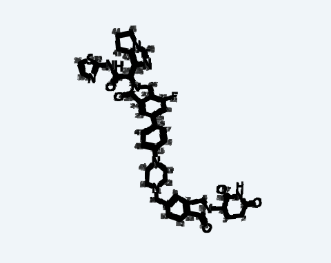 O=C1CCC(N2Cc3cc(CN4CCN(c5ccc(-c6cc(F)c7c(c6)C(=O)N(C(C(=O)Nc6nccs6)c6ncn8c6CCC8)C7)cc5)CC4)ccc3C2=O)C(=O)N1